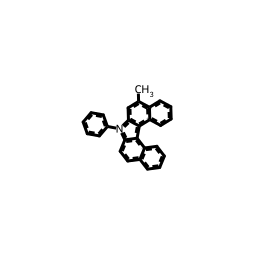 Cc1cc2c(c3ccccc13)c1c3ccccc3ccc1n2-c1ccccc1